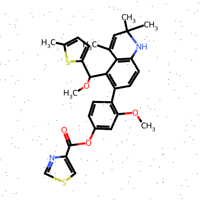 COc1cc(OC(=O)c2cscn2)ccc1-c1ccc2c(c1C(OC)c1ccc(C)s1)C(C)=CC(C)(C)N2